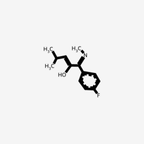 C/N=C(\C(O)=C\C(C)C)c1ccc(F)cc1